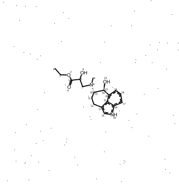 CCOC(=O)C(O)CN(C)[C@H]1CCc2c[nH]c3cccc(c23)[C@@H]1O